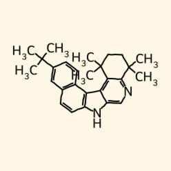 CC(C)(C)c1ccc2c(ccc3[nH]c4cnc5c(c4c32)C(C)(C)CCC5(C)C)c1